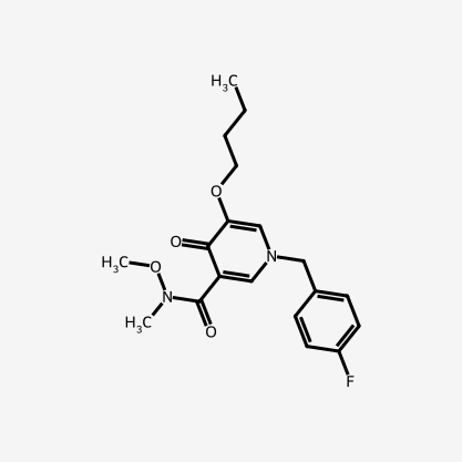 CCCCOc1cn(Cc2ccc(F)cc2)cc(C(=O)N(C)OC)c1=O